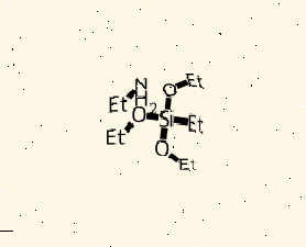 CCN.CCO[Si](CC)(OCC)OCC